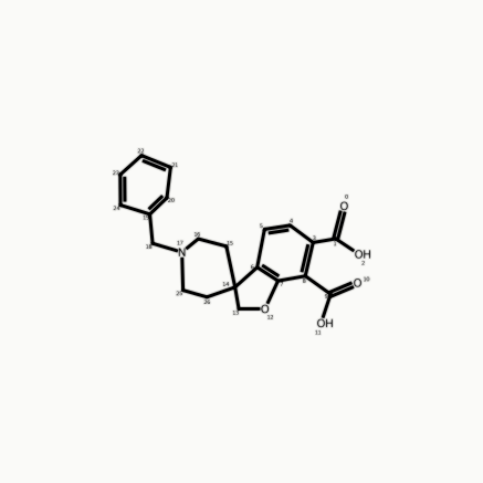 O=C(O)c1ccc2c(c1C(=O)O)OCC21CCN(Cc2ccccc2)CC1